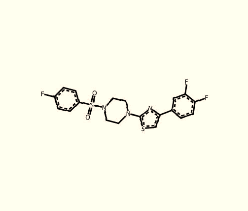 O=S(=O)(c1ccc(F)cc1)N1CCN(c2nc(-c3ccc(F)c(F)c3)cs2)CC1